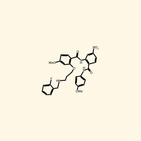 COc1ccc(NC(=O)c2ccc([N+](=O)[O-])cc2NC(=O)c2ccc(OC)cc2OCCCNCc2ccccc2F)cc1